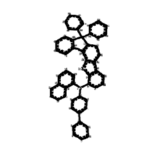 c1ccc(-c2ccc(N(c3cccc4ccccc34)c3cccc4c3sc3c5c(ccc34)C(c3ccccc3)(c3ccccc3)c3ccccc3-5)cc2)cc1